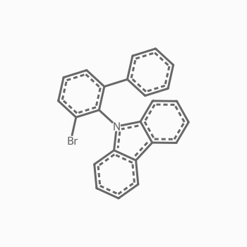 Brc1cccc(-c2ccccc2)c1-n1c2ccccc2c2ccccc21